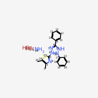 Br.Br.Cc1nc(N2N=C(c3ccccc3)NN2c2ccccc2)sc1C.N